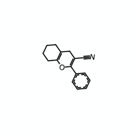 N#CC1=C(c2ccccc2)OC2=C(CCCC2)C1